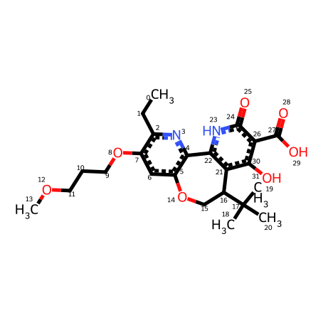 CCc1nc2c(cc1OCCCOC)OCC(C(C)(C)C)c1c-2[nH]c(=O)c(C(=O)O)c1O